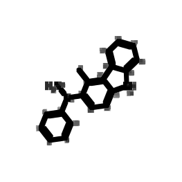 Cc1c(N(N)c2ccccc2)ccc2[nH]c3ccccc3c12